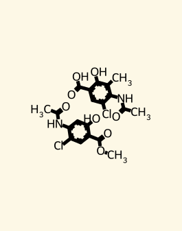 CC(=O)Nc1c(Cl)cc(C(=O)O)c(O)c1C.COC(=O)c1cc(Cl)c(NC(C)=O)cc1O